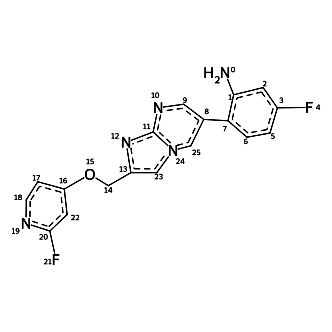 Nc1cc(F)ccc1-c1cnc2nc(COc3ccnc(F)c3)cn2c1